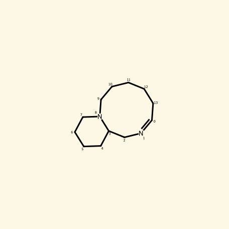 C1=NCC2CCCCN2CCCCC1